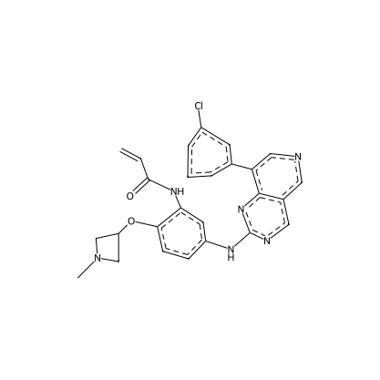 C=CC(=O)Nc1cc(Nc2ncc3cncc(-c4cccc(Cl)c4)c3n2)ccc1OC1CN(C)C1